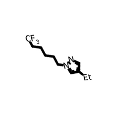 CCc1cnn(CCCCCC(F)(F)F)c1